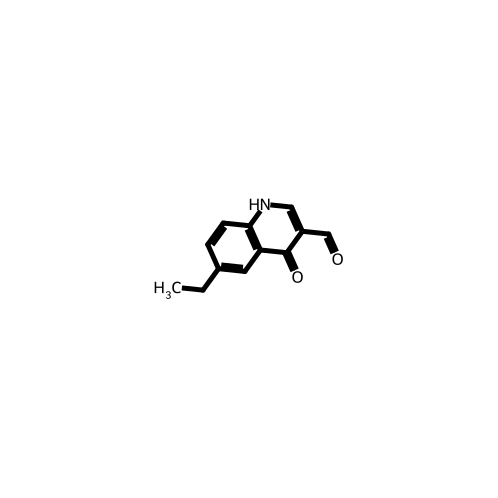 CCc1ccc2[nH]cc(C=O)c(=O)c2c1